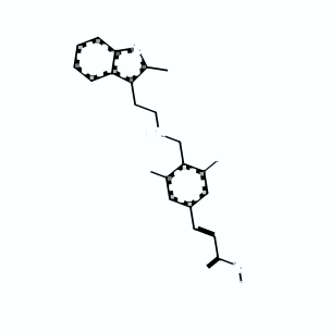 Cc1[nH]c2ccccc2c1CCNCc1c(F)cc(/C=C/C(=O)NO)cc1F